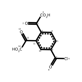 O=C(O)C(=O)c1ccc(C(=O)Cl)cc1C(=O)C(=O)O